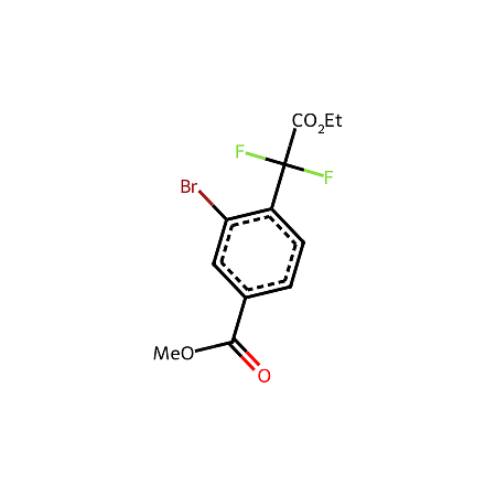 CCOC(=O)C(F)(F)c1ccc(C(=O)OC)cc1Br